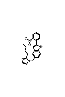 CCCCc1nccn1Cc1ccc2[nH]c(-c3ccccc3[N+](=O)[O-])cc2c1